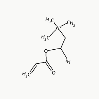 [2H]C(C[N+](C)(C)C)OC(=O)C=C